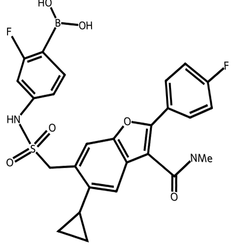 CNC(=O)c1c(-c2ccc(F)cc2)oc2cc(CS(=O)(=O)Nc3ccc(B(O)O)c(F)c3)c(C3CC3)cc12